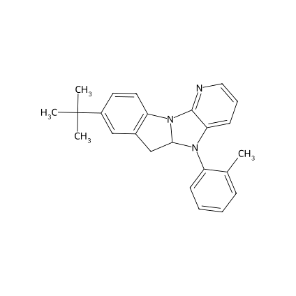 Cc1ccccc1N1c2cccnc2N2c3ccc(C(C)(C)C)cc3CC12